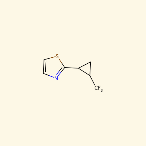 FC(F)(F)C1CC1c1nccs1